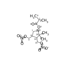 CC(C)C(=O)ON1CC(CO[N+](=O)[O-])C(CO[N+](=O)[O-])C1(C)C